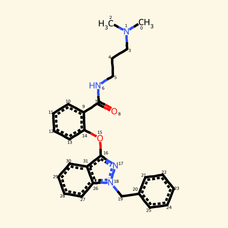 CN(C)CCCNC(=O)c1ccccc1Oc1nn(Cc2ccccc2)c2ccccc12